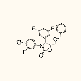 O=C1O[C@@H](COCc2ccccc2)[C@H](c2cc(F)cc(F)c2)N1c1ccc(Cl)c(F)c1